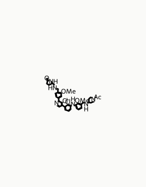 COc1cc(-c2nccc(-c3cccc(Nc4cccc(CNC5CCN(C(C)=O)CC5)c4OC)c3Cl)c2Cl)ccc1CNCC1CCC(=O)N1